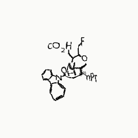 C=C(NC(CC(=O)O)C(=O)CF)[C@H](CCC)CC(=O)n1c2ccccc2c2ccccc21